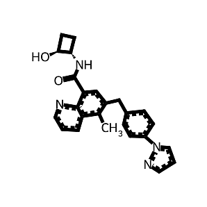 Cc1c(Cc2ccc(-n3cccn3)cc2)cc(C(=O)N[C@H]2CC[C@@H]2O)c2ncccc12